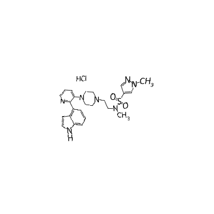 CN(CCN1CCN(c2cccnc2-c2cccc3[nH]ccc23)CC1)S(=O)(=O)c1cnn(C)c1.Cl